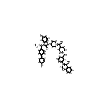 CC(c1ccc(-c2ccc(F)cc2)cc1)n1c(=O)n(C2CCN(C(=O)C3CCN(Cc4ccnc(N(C=O)C(=O)c5ccccc5)c4)CC3)CC2)c2ccc(F)cc21